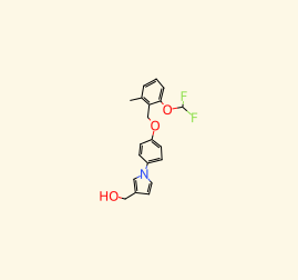 Cc1cccc(OC(F)F)c1COc1ccc(-n2ccc(CO)c2)cc1